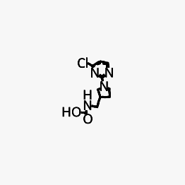 O=C(O)NCC1CCN(c2nccc(Cl)n2)C1